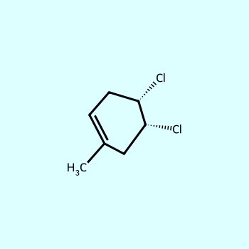 CC1=CC[C@H](Cl)[C@H](Cl)C1